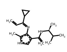 C=C/C(=N\c1c(C(=C)N[C@@H](C)C(C)C)c[nH]c1C)C1CC1